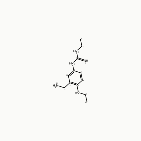 CCNC(=N)Nc1ccc(OCC)c(CN)c1